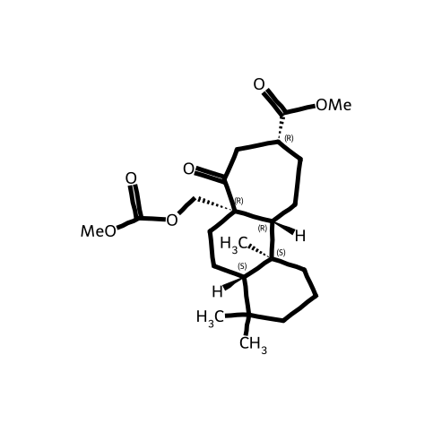 COC(=O)OC[C@@]12CC[C@H]3C(C)(C)CCC[C@]3(C)[C@H]1CC[C@@H](C(=O)OC)CC2=O